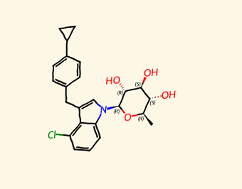 C[C@H]1O[C@@H](n2cc(Cc3ccc(C4CC4)cc3)c3c(Cl)cccc32)[C@H](O)[C@@H](O)[C@@H]1O